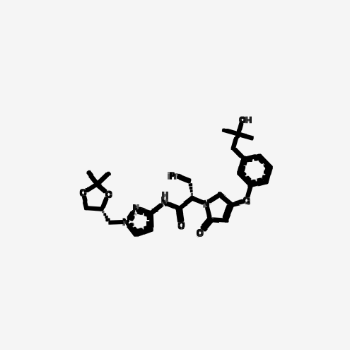 CC(C)C[C@@H](C(=O)Nc1ccn(C[C@@H]2COC(C)(C)O2)n1)N1CC(Oc2cccc(CC(C)(C)O)c2)=CC1=O